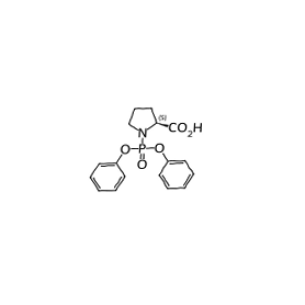 O=C(O)[C@@H]1CCCN1P(=O)(Oc1ccccc1)Oc1ccccc1